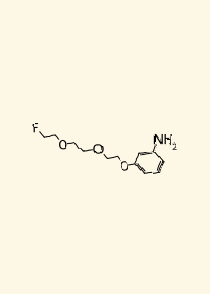 Nc1cccc(OCCOCCOCCF)c1